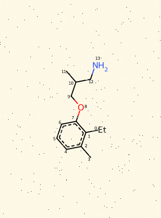 CCc1c(C)cccc1OCC(C)CN